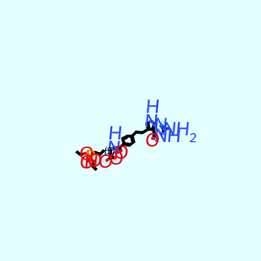 CCOP(=O)(CCC[C@H](NC(=O)c1ccc(CCc2c[nH]c3nc(N)[nH]c(=O)c23)cc1)C(=O)O)OCC